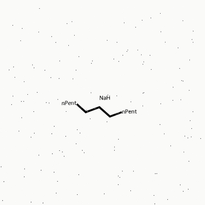 [CH2]CCCCCCCCCCCC.[NaH]